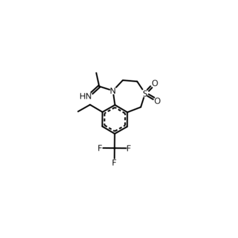 CCc1cc(C(F)(F)F)cc2c1N(C(C)=N)CCS(=O)(=O)C2